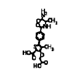 Cc1c(-c2ccc(C(=O)NC(C)C(N)=O)cc2)sc(C(=O)O)c1OCC(=O)O